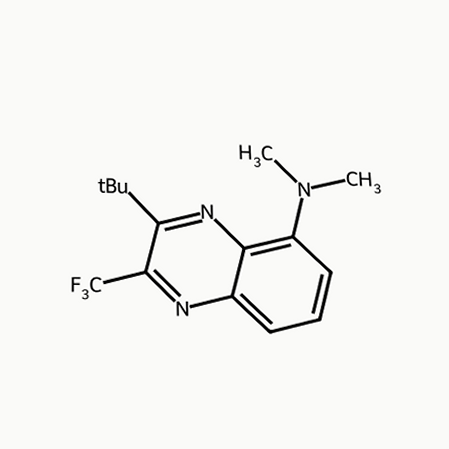 CN(C)c1cccc2nc(C(F)(F)F)c(C(C)(C)C)nc12